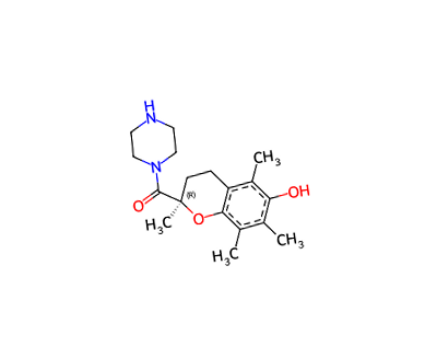 Cc1c(C)c2c(c(C)c1O)CC[C@](C)(C(=O)N1CCNCC1)O2